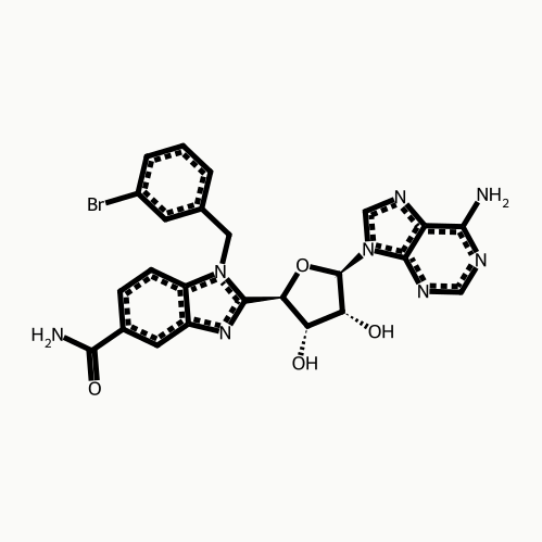 NC(=O)c1ccc2c(c1)nc([C@H]1O[C@@H](n3cnc4c(N)ncnc43)[C@H](O)[C@@H]1O)n2Cc1cccc(Br)c1